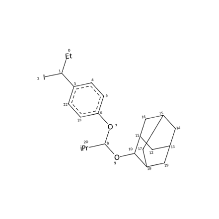 CCC(I)c1ccc(OC(OC2C3CC4CC(C3)CC2C4)C(C)C)cc1